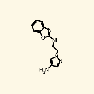 Nc1cnn(CCNc2nc3ccccc3o2)c1